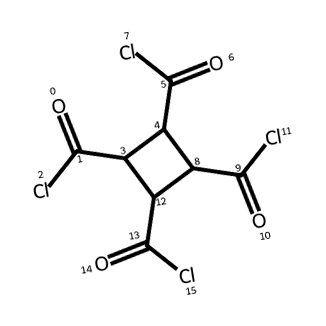 O=C(Cl)C1C(C(=O)Cl)C(C(=O)Cl)C1C(=O)Cl